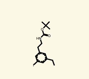 CCc1cc(I)cc(CCNC(=O)OC(C)(C)C)c1